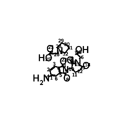 Nc1ccc2c(c1)C(=O)N(C1CCC(=O)N(CCO)C1=O)C2=O.O=C(O)CN1CCCCC1